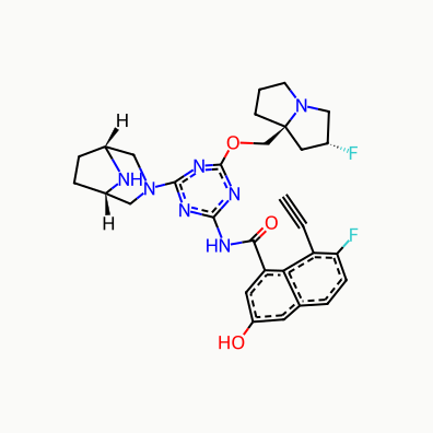 C#Cc1c(F)ccc2cc(O)cc(C(=O)Nc3nc(OC[C@@]45CCCN4C[C@H](F)C5)nc(N4C[C@H]5CC[C@@H](C4)N5)n3)c12